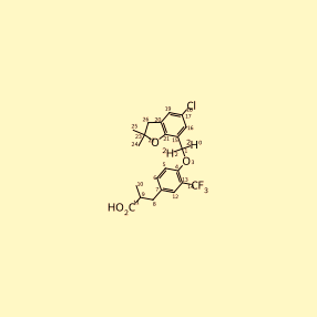 [2H]C([2H])(Oc1ccc(CC(C)C(=O)O)cc1C(F)(F)F)c1cc(Cl)cc2c1OC(C)(C)C2